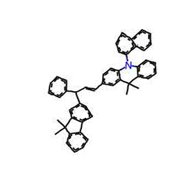 CC1(C)c2ccccc2-c2ccc(C(/C=C/c3ccc4c(c3)C(C)(C)c3ccccc3N4c3cccc4ccccc34)c3ccccc3)cc21